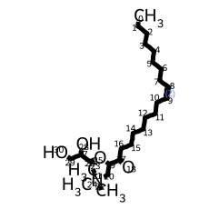 CCCCCCCC/C=C\CCCCCCCC(=O)C(C[N+](C)(C)C)OCC(O)CO